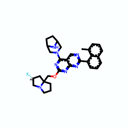 Cc1cccc2cccc(-c3ncc4c(N5CC6CCC(C5)N6)nc(OCC56CCCN5C[C@H](F)C6)nc4n3)c12